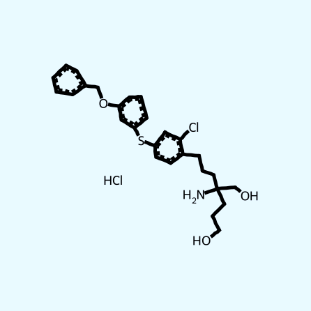 Cl.NC(CO)(CCCO)CCCc1ccc(Sc2cccc(OCc3ccccc3)c2)cc1Cl